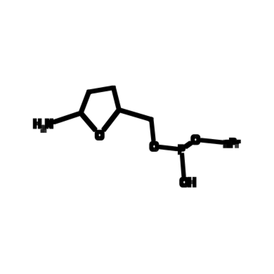 CCCOP(O)OCC1CCC(N)O1